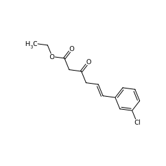 CCOC(=O)CC(=O)CC=Cc1cccc(Cl)c1